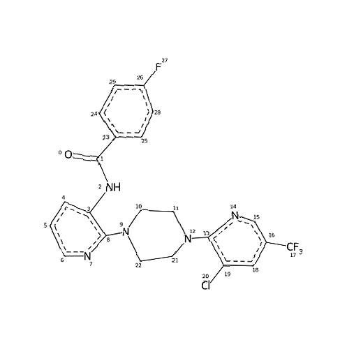 O=C(Nc1cccnc1N1CCN(c2ncc(C(F)(F)F)cc2Cl)CC1)c1ccc(F)cc1